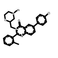 Cc1ccccc1-c1nc2ccc(-c3ccc(Cl)cc3)cc2c(=O)n1CC1CN(C(C)C)CCO1